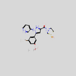 O=C(c1cc(-c2cc(Br)cc(OC(F)(F)F)c2)n(-c2cccnc2)n1)N1CC[S+]([O-])C1